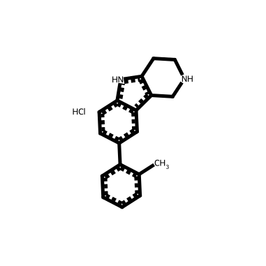 Cc1ccccc1-c1ccc2[nH]c3c(c2c1)CNCC3.Cl